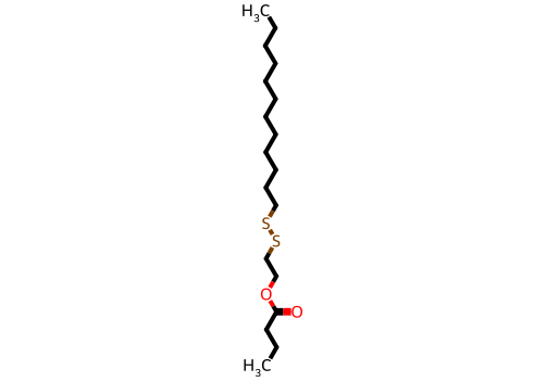 CCCCCCCCCCCCSSCCOC(=O)CCC